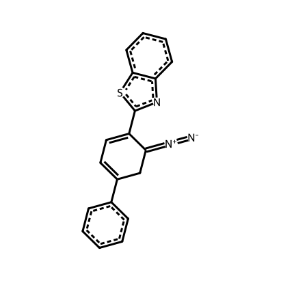 [N-]=[N+]=C1CC(c2ccccc2)=CC=C1c1nc2ccccc2s1